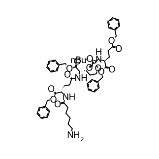 CCCCOP(=O)(N[C@@H](CCC(=O)OCc1ccccc1)C(=O)OCc1ccccc1)OCCC[C@H](NC(=O)CC[C@H](NC(=O)CCCCCN)C(=O)OCc1ccccc1)C(=O)OCc1ccccc1